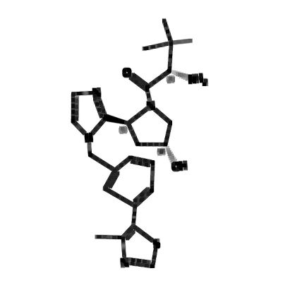 Cc1ncsc1-c1cccc(Cn2ccnc2[C@@H]2C[C@@H](O)CN2C(=O)[C@@H](N)C(C)(C)C)c1